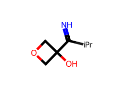 CC(C)C(=N)C1(O)COC1